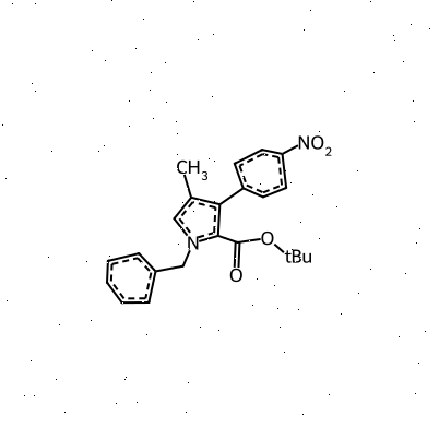 Cc1cn(Cc2ccccc2)c(C(=O)OC(C)(C)C)c1-c1ccc([N+](=O)[O-])cc1